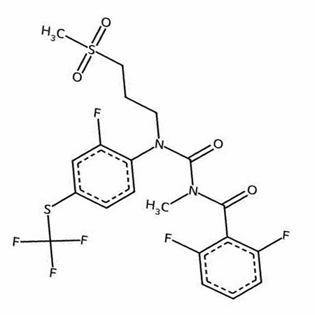 CN(C(=O)c1c(F)cccc1F)C(=O)N(CCCS(C)(=O)=O)c1ccc(SC(F)(F)F)cc1F